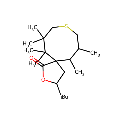 CCC(C)C1CC2(C(=O)O1)C(C)C(C)CSCC(C)(C)C2(C)C